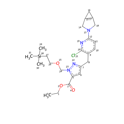 CCOC(=O)c1cc(Cc2ccc(N3CC4CC4C3)nc2Cl)nn1COCC[Si](C)(C)C